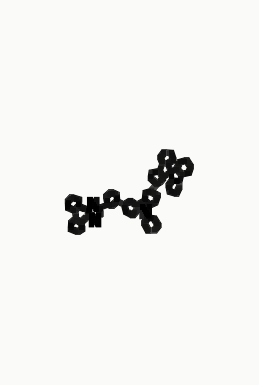 c1ccc(-n2c3ccc(-c4cccc(-c5cnc6c7ccccc7c7ccccc7c6n5)c4)cc3c3cc(-c4ccc5c(c4)C4(c6ccccc6-c6ccccc64)c4ccccc4-5)ccc32)cc1